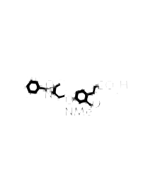 CNC(=O)c1cc(OCCc2nc(-c3ccccc3)oc2C)ccc1CCC(=O)O